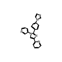 c1ccc(-c2cn(-c3cccnc3)c(-c3ccc(-n4ccnc4)cc3)n2)nc1